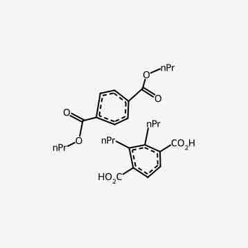 CCCOC(=O)c1ccc(C(=O)OCCC)cc1.CCCc1c(C(=O)O)ccc(C(=O)O)c1CCC